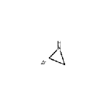 C1CN1.[Zr]